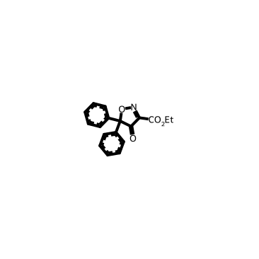 CCOC(=O)C1=NOC(c2ccccc2)(c2ccccc2)C1=O